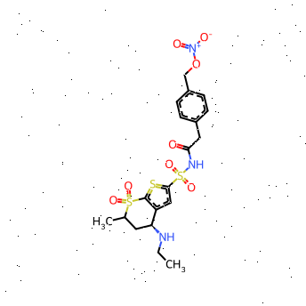 CCN[C@H]1CC(C)S(=O)(=O)c2sc(S(=O)(=O)NC(=O)Cc3ccc(CO[N+](=O)[O-])cc3)cc21